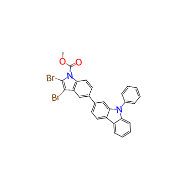 COC(=O)n1c(Br)c(Br)c2cc(-c3ccc4c5ccccc5n(-c5ccccc5)c4c3)ccc21